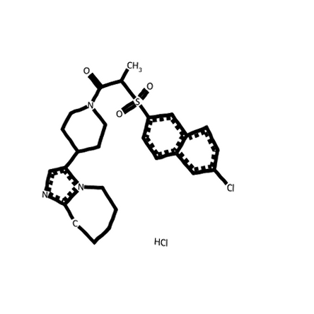 CC(C(=O)N1CCC(c2cnc3n2CCCCC3)CC1)S(=O)(=O)c1ccc2cc(Cl)ccc2c1.Cl